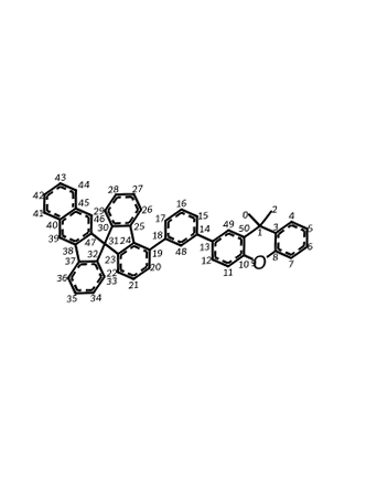 CC1(C)c2ccccc2Oc2ccc(-c3cccc(-c4cccc5c4-c4ccccc4C54c5ccccc5-c5cc6ccccc6cc54)c3)cc21